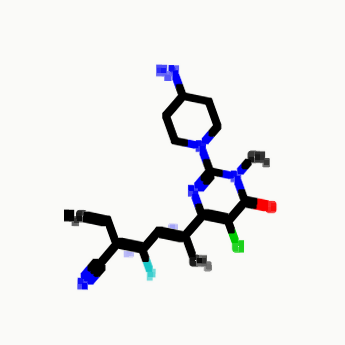 C=C/C(C#N)=C(F)\C=C(/C)c1nc(N2CCC(N)CC2)n(C)c(=O)c1Cl